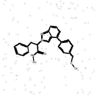 COCc1ccc(-c2cccc3nn(C(Cc4ccccc4)C(=O)NO)cc23)cc1